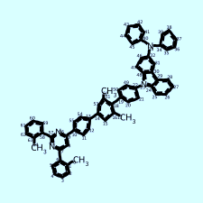 Cc1ccccc1-c1cc(-c2ccc(-c3cc(C)c(-c4ccc(-n5c6ccccc6c6cc(N(c7ccccc7)c7ccccc7)ccc65)cc4)c(C)c3)cc2)nc(-c2ccccc2C)n1